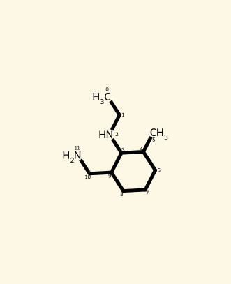 CCNC1C(C)CCCC1CN